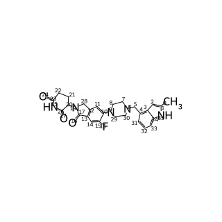 Cc1cc2c(CN3CCN(c4cc5c(cc4F)C(=O)N(C4CCC(=O)NC4=O)C5)CC3)cccc2[nH]1